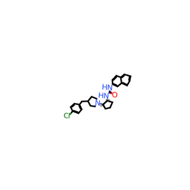 O=C(Nc1ccc2ccccc2c1)N[C@@H]1CCC[C@H]1N1CCC(Cc2ccc(Cl)cc2)CC1